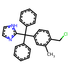 Cc1cc(C(c2ccccc2)(c2ccccc2)c2ncc[nH]2)ccc1CCl